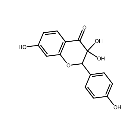 O=C1c2ccc(O)cc2OC(c2ccc(O)cc2)C1(O)O